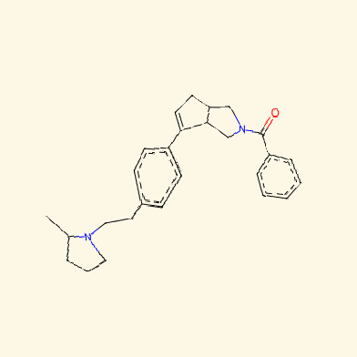 CC1CCCN1CCc1ccc(C2=CCC3CN(C(=O)c4ccccc4)CC23)cc1